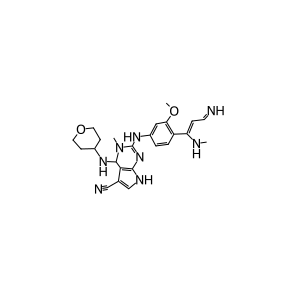 CN/C(=C\C=N)c1ccc(NC2=Nc3[nH]cc(C#N)c3C(NC3CCOCC3)N2C)cc1OC